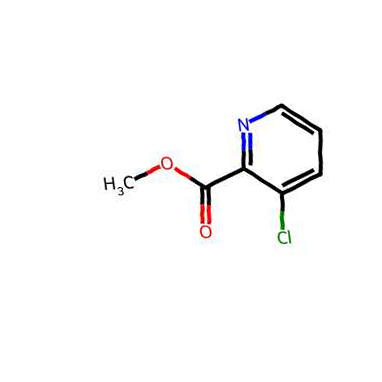 COC(=O)c1ncccc1Cl